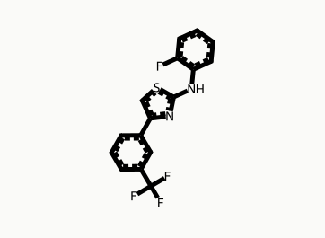 Fc1ccccc1Nc1nc(-c2cccc(C(F)(F)F)c2)cs1